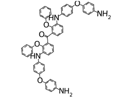 Nc1ccc(Oc2ccc(Nc3cccc(C(=O)c4cccc(Nc5ccc(Oc6ccc(N)cc6)cc5)c4Oc4ccccc4)c3Oc3ccccc3)cc2)cc1